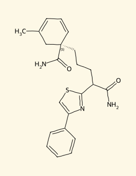 CC1=CC=C[C@@](CCCC(C(N)=O)c2nc(-c3ccccc3)cs2)(C(N)=O)C1